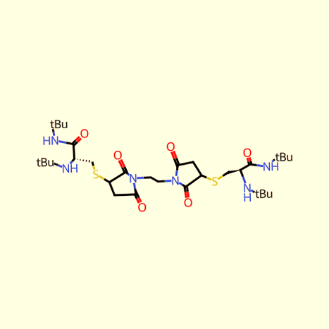 CC(C)(C)NC(=O)[C@H](CSC1CC(=O)N(CCN2C(=O)CC(SC[C@H](NC(C)(C)C)C(=O)NC(C)(C)C)C2=O)C1=O)NC(C)(C)C